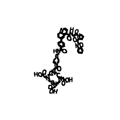 O=C(O)CN1CCN(CC(=O)O)CCN(CC(=O)N2CCN(CCNC(=O)c3ccc(-c4ccc5nccc(C(=O)NCC(=O)N6CCCC6C(=O)c6nc7ccccc7o6)c5c4)cc3)CC2)CCN(CC(=O)O)CC1